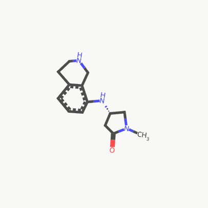 CN1C[C@@H](Nc2cccc3c2CNCC3)CC1=O